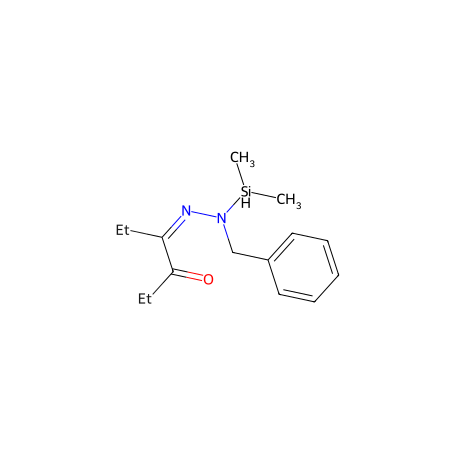 CCC(=O)C(CC)=NN(Cc1ccccc1)[SiH](C)C